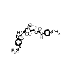 CN1CCC(NC(=O)OCC(=O)N(C)CC(=O)Nc2nc3ccc(OC(F)(F)F)cc3s2)CC1